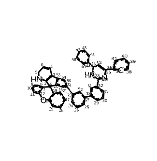 C1=CC2=C(NC1)C1(c3ccccc3Oc3ccccc31)c1cc(-c3cccc(-c4cccc(C5=NC(c6ccccc6)=CC(c6ccccc6)N5)c4)c3)ccc12